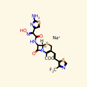 Nc1nc(C(=NO)C(=O)NC2C(=O)N3C(C(=O)[O-])=C(C=Cc4scnc4C(F)(F)F)CS[C@@H]23)cs1.[Na+]